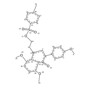 COc1ccc(-c2cn(CCOS(=O)(=O)c3ccc(C)cc3)c3c(OC)ccc(OC)c3c2=O)cc1